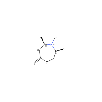 C=C1CC[C@H](C)N(C)[C@H](C)C1